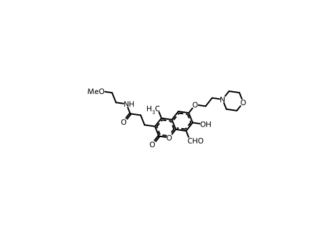 COCCNC(=O)CCc1c(C)c2cc(OCCN3CCOCC3)c(O)c(C=O)c2oc1=O